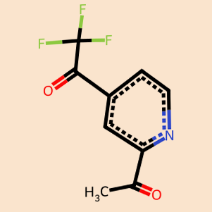 CC(=O)c1cc(C(=O)C(F)(F)F)ccn1